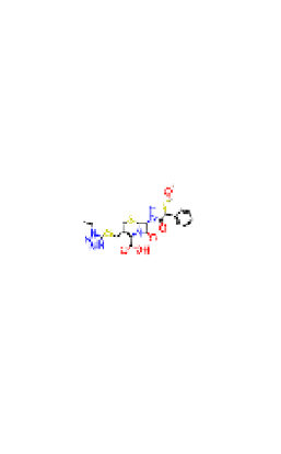 CCn1nnnc1SCC1=C(C(=O)O)N2C(=O)C(NC(=O)C(SCOC)c3ccccc3)C2SC1